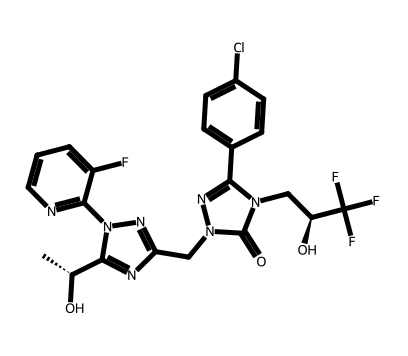 C[C@@H](O)c1nc(Cn2nc(-c3ccc(Cl)cc3)n(C[C@H](O)C(F)(F)F)c2=O)nn1-c1ncccc1F